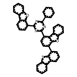 c1ccc(-c2nc(-c3cccc4c3oc3ccccc34)nc(-c3ccc(-c4cccc5c4sc4ccccc45)c4oc5ccccc5c34)n2)cc1